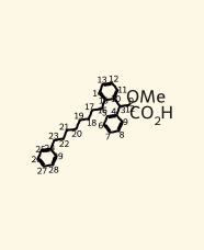 COC(C(=O)O)C(c1ccccc1)c1ccccc1CCCCCCCCc1ccccc1